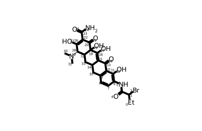 CCC(Br)C(=O)Nc1ccc2c(c1O)C(=O)C1=C(O)C3(O)C(=O)C(C(N)=O)=C(O)[C@@H](N(C)C)C3CC1C2